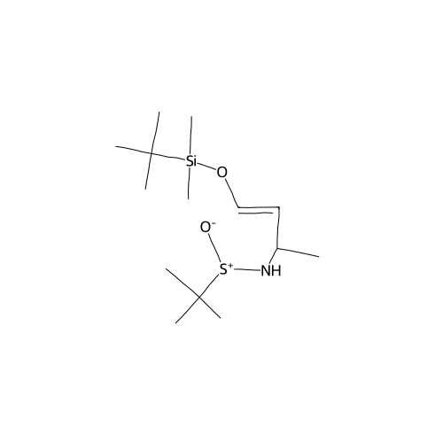 CC(C=CO[Si](C)(C)C(C)(C)C)N[S+]([O-])C(C)(C)C